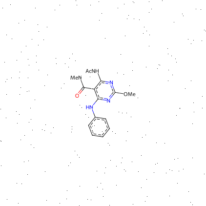 CNC(=O)c1c(NC(C)=O)nc(OC)nc1Nc1ccccc1